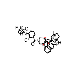 Cc1nc2ccccc2n1C1C[C@H]2CC[C@@H](C1)N2CCC1(c2cccc(F)c2)CCN(C(=O)c2cccc(NS(=O)(=O)C(F)(F)F)c2Cl)CC1